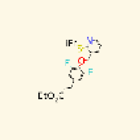 CCOC(=O)CCc1cc(F)c(OCc2cccnc2SC(C)C)c(F)c1